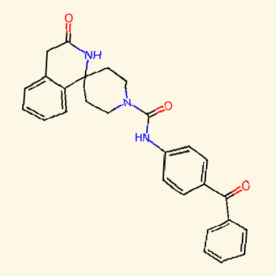 O=C1Cc2ccccc2C2(CCN(C(=O)Nc3ccc(C(=O)c4ccccc4)cc3)CC2)N1